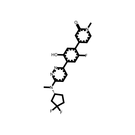 CN(c1ccc(-c2cc(F)c(-c3ccn(C)c(=O)c3)cc2O)nn1)[C@@H]1CCC(F)(F)C1